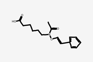 CC(=O)N(CCCCCC(=O)O)OC=Cc1ccccc1